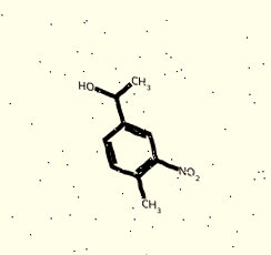 Cc1ccc(C(C)O)cc1[N+](=O)[O-]